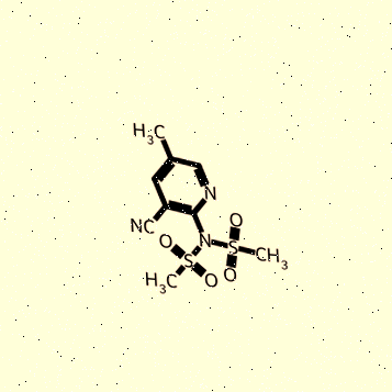 Cc1cnc(N(S(C)(=O)=O)S(C)(=O)=O)c(C#N)c1